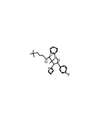 CC(C)(C)CCCNC(=O)C1(C)C(c2cccs2)C(c2ccc(F)cc2)=NN1c1ccccc1